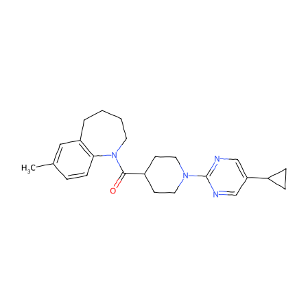 Cc1ccc2c(c1)CCCCN2C(=O)C1CCN(c2ncc(C3CC3)cn2)CC1